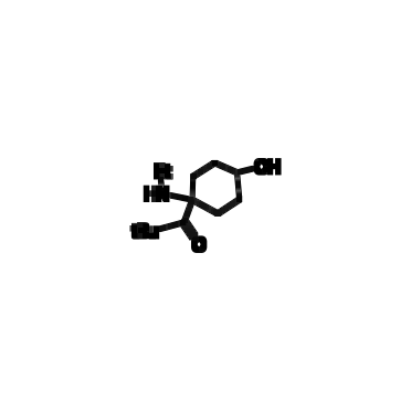 CCNC1(C(=O)C(C)(C)C)CCC(O)CC1